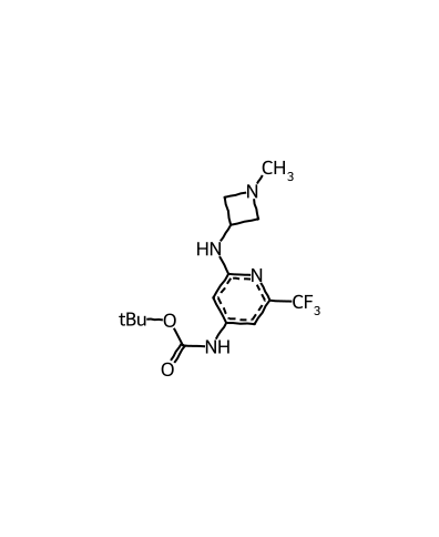 CN1CC(Nc2cc(NC(=O)OC(C)(C)C)cc(C(F)(F)F)n2)C1